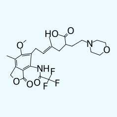 COc1c(C)c2c(c(NC(=O)C(F)(F)F)c1C/C=C(\C)CC(CCN1CCOCC1)C(=O)O)C(=O)OC2